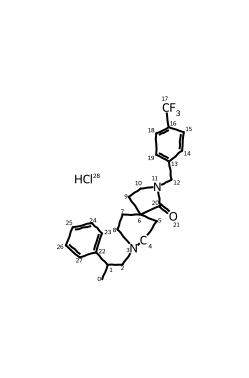 CC(CN1CCC2(CC1)CCN(Cc1ccc(C(F)(F)F)cc1)C2=O)c1ccccc1.Cl